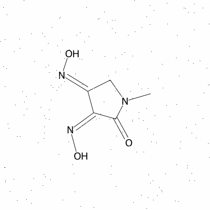 CN1CC(=NO)C(=NO)C1=O